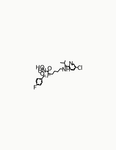 CO[C@H](C[C@H](CCCCN[C@@H](c1ccc(Cl)cn1)C(C)C)C(=O)NO)c1ccc(F)cc1